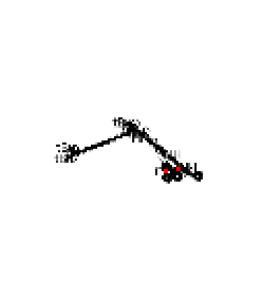 CC(C)(C)OC(=O)[C@H](CCC(=O)NCCOCCOCC(=O)NCCCC[C@H](NC(=O)OCc1ccccc1)C(=O)OC(c1ccccc1)(c1ccccc1)c1ccccc1Cl)NC(=O)CCCCCCCCCCCCCCCCCP(=O)(OC(C)(C)C)OC(C)(C)C